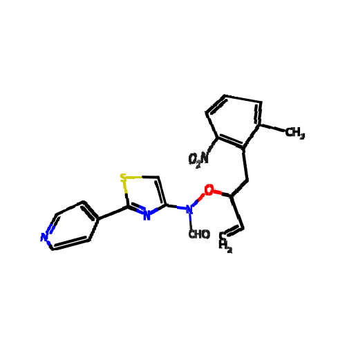 C=CC(Cc1c(C)cccc1[N+](=O)[O-])ON(C=O)c1csc(-c2ccncc2)n1